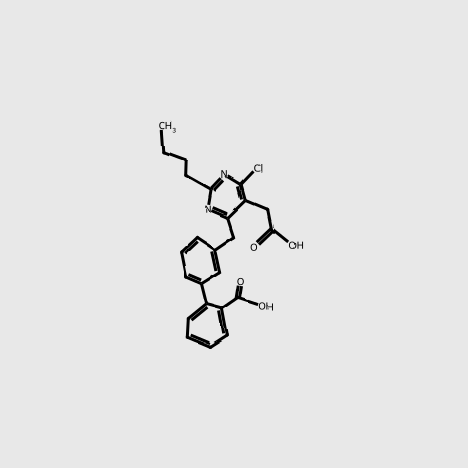 CCCCc1nc(Cl)c(CC(=O)O)c(Cc2cccc(-c3ccccc3C(=O)O)c2)n1